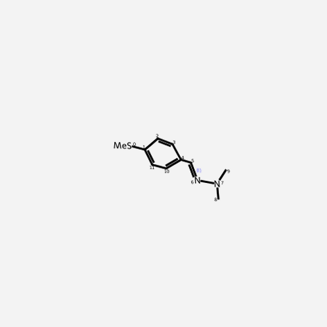 CSc1ccc(/C=N/N(C)C)cc1